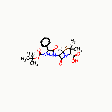 CC(C)(C)OC(=O)NC(C(=O)N[C@@H]1C(=O)N2[C@@H]1SC(C)(C)[C@@H]2C(=O)O)c1ccccc1